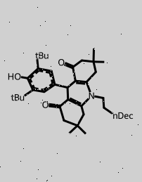 CCCCCCCCCCCCN1C2=C(C(=O)CC(C)(C)C2)C(c2cc(C(C)(C)C)c(O)c(C(C)(C)C)c2)C2=C1CC(C)(C)CC2=O